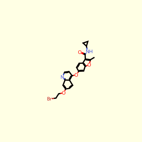 Cc1oc2cc(Oc3ccnc4cc(OCCBr)ccc34)ccc2c1C(=O)NC1CC1